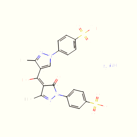 CC1=NN(c2ccc(S(=O)(=O)O)cc2)C(=O)C1=C(O)c1cn(-c2ccc(S(=O)(=O)O)cc2)nc1C.N.N